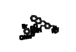 COc1ccc(Br)cc1S(=O)(=O)NC(=O)CCc1ccc(Cn2cccn2)cc1Cc1ccc2ccccc2c1